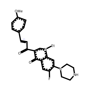 CCn1cc(C(=O)/C=C/c2ccc(OC)cc2)c(=O)c2cc(F)c(N3CCNCC3)cc21